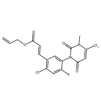 C=CCOC(=O)C=Cc1cc(-n2c(=O)cc(C(F)(F)F)n(C)c2=O)c(F)cc1Cl